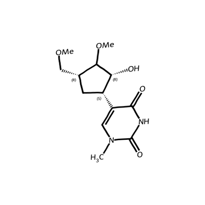 COC[C@H]1C[C@@H](c2cn(C)c(=O)[nH]c2=O)[C@@H](O)C1OC